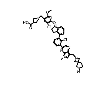 COc1nc(O[C@H]2CCc3c(-c4cccc(-c5cnc6c(CN7CC8(CCNC8)C7)cn(C)c6n5)c4Cl)cccc32)c(Cl)cc1CN1CC(C(=O)O)C1